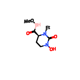 CCN1C(=O)N(O)CC[C@H]1C(=O)BOC